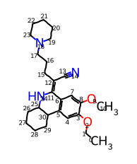 CCOc1cc2c(cc1OC)C(=C(C#N)CCCN1CCCCC1)NC1CCCCC21